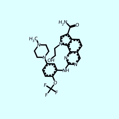 CN1CCN(c2ccc(OC(F)(F)F)c(Nc3ncc4ccc5c(C(N)=O)cn(CCO)c5c4n3)c2)CC1